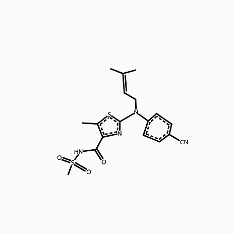 CC(C)=CCN(c1ccc(C#N)cc1)c1nc(C(=O)NS(C)(=O)=O)c(C)s1